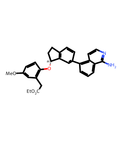 CCOC(=O)Cc1cc(OC)ccc1O[C@@H]1CCc2ccc(-c3cccc4c(N)nccc34)cc21